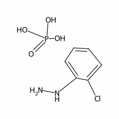 NNc1ccccc1Cl.O=P(O)(O)O